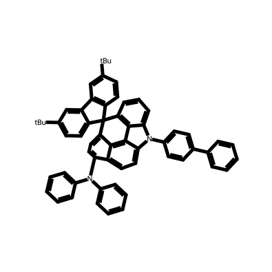 CC(C)(C)c1ccc2c(c1)-c1cc(C(C)(C)C)ccc1C21c2ccc(N(c3ccccc3)c3ccccc3)c3ccc4c(c23)c2c1cccc2n4-c1ccc(-c2ccccc2)cc1